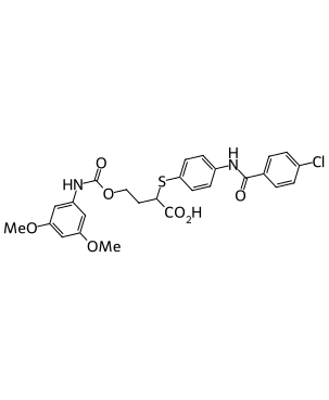 COc1cc(NC(=O)OCCC(Sc2ccc(NC(=O)c3ccc(Cl)cc3)cc2)C(=O)O)cc(OC)c1